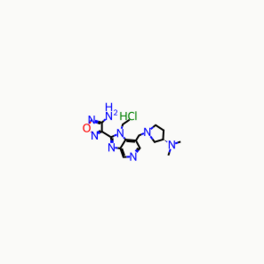 CCn1c(-c2nonc2N)nc2cncc(CN3CC[C@H](N(C)C)C3)c21.Cl